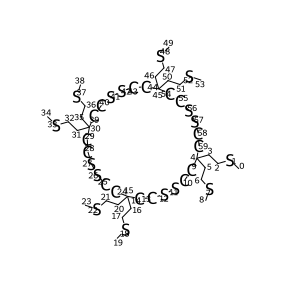 CSCCC1(CCSC)CCSSCCC(CCSC)(CCSC)CCSSCCC(CCSC)(CCSC)CCSSCCC(CCSC)(CCSC)CCSSCC1